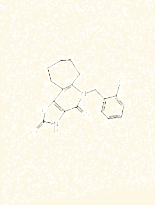 O=c1[nH]c2c(=O)n(Cc3ccccc3Cl)c3c(c2o1)CCCCC3